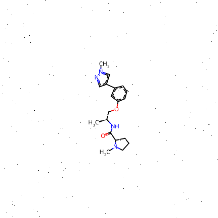 C[C@@H](COc1c[c]cc(-c2cnn(C)c2)c1)NC(=O)C1CCCN1C